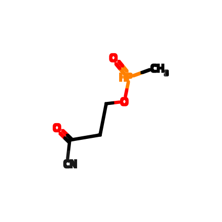 C[PH](=O)OCCC(=O)C#N